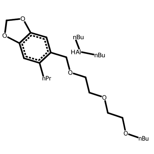 CCCCOCCOCCOCc1cc2c(cc1CCC)OCO2.CCC[CH2][AlH][CH2]CCC